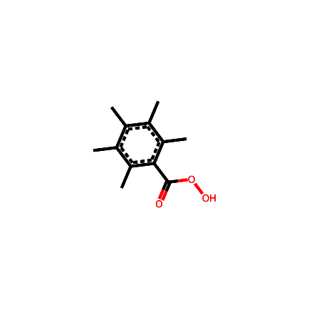 Cc1c(C)c(C)c(C(=O)OO)c(C)c1C